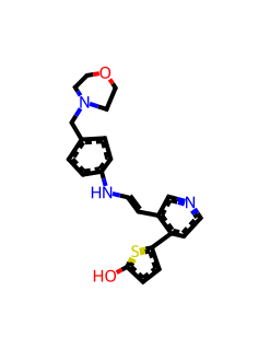 Oc1ccc(-c2ccncc2/C=C/Nc2ccc(CN3CCOCC3)cc2)s1